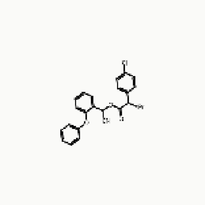 CC(C)C(C(=O)OC(C#N)c1ccccc1Oc1ccccc1)c1ccc(Cl)cc1